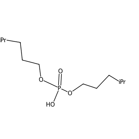 CC(C)CCCOP(=O)(O)OCCCC(C)C